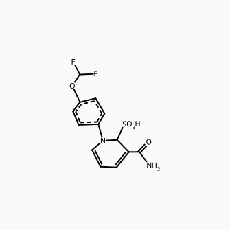 NC(=O)C1=CC=CN(c2ccc(OC(F)F)cc2)C1S(=O)(=O)O